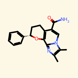 Cc1nc2c3c(c(C(N)=O)cn2c1C)CC[C@@H](c1ccccc1)O3